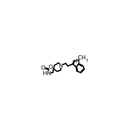 Cn1cc(CCN2CCC3(CC2)CNC(=O)O3)c2ccccc21